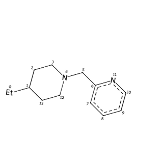 CCC1CCN(Cc2ccccn2)CC1